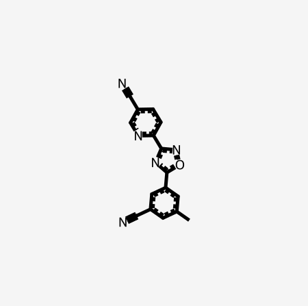 Cc1cc(C#N)cc(-c2nc(-c3ccc(C#N)cn3)no2)c1